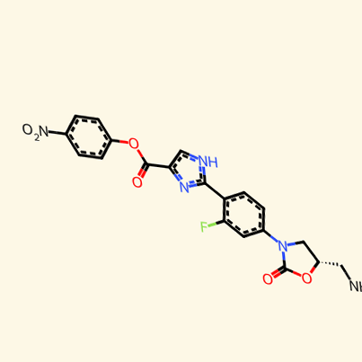 CC(=O)NC[C@H]1CN(c2ccc(-c3nc(C(=O)Oc4ccc([N+](=O)[O-])cc4)c[nH]3)c(F)c2)C(=O)O1